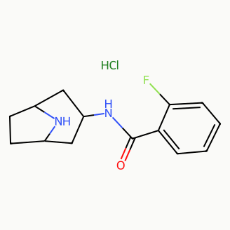 Cl.O=C(NC1CC2CCC(C1)N2)c1ccccc1F